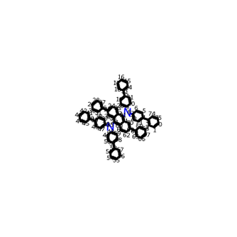 c1ccc(-c2ccc(N(c3ccc(-c4ccccc4)cc3)c3c4ccc(-c5ccccc5)cc4c(N(c4ccc(-c5ccccc5)cc4)c4ccc(-c5ccccc5)cc4)c4ccc(-c5ccccc5)cc34)cc2)cc1